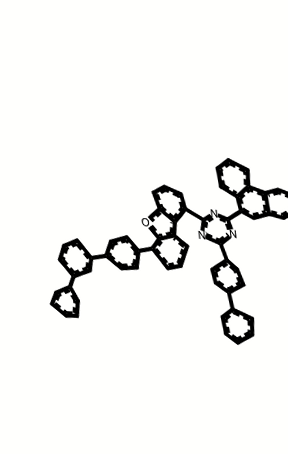 c1ccc(-c2ccc(-c3nc(-c4cc5ccccc5c5ccccc45)nc(-c4cccc5oc6c(-c7ccc(-c8cccc(-c9ccccc9)c8)cc7)cccc6c45)n3)cc2)cc1